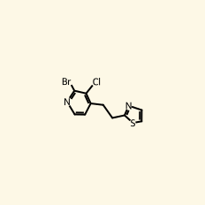 Clc1c(CCc2nccs2)ccnc1Br